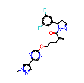 C=C(CCCOc1cnc(-c2cnn(C)c2)cn1)C(=O)N1N=CCC1c1cc(F)cc(F)c1